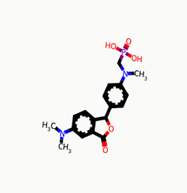 CN(C)c1ccc2c(c1)C(=O)OC2c1ccc(N(C)CP(=O)(O)O)cc1